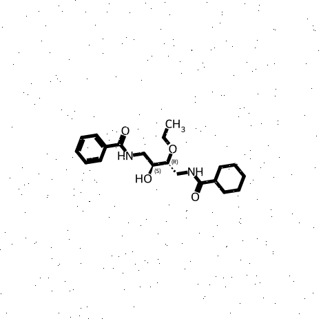 CCO[C@H](CNC(=O)C1CCCCC1)[C@@H](O)CNC(=O)c1ccccc1